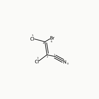 N#CC(Cl)=C(Cl)Br